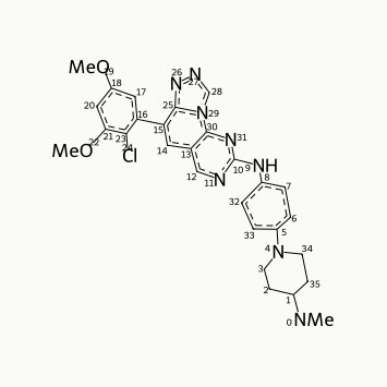 CNC1CCN(c2ccc(Nc3ncc4cc(-c5cc(OC)cc(OC)c5Cl)c5nncn5c4n3)cc2)CC1